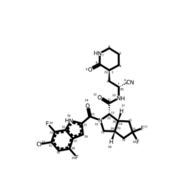 N#C[C@@H](C[C@@H]1CCCNC1=O)NC(=O)[C@@H]1[C@@H]2CC(F)(F)C[C@@H]2CN1C(=O)c1cc2c(F)cc(Cl)c(F)c2[nH]1